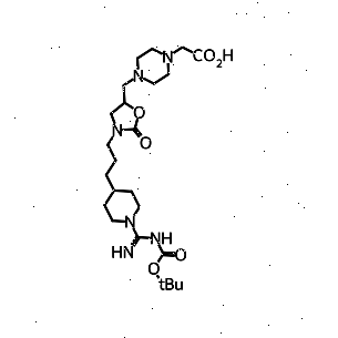 CC(C)(C)OC(=O)NC(=N)N1CCC(CCCN2CC(CN3CCN(CC(=O)O)CC3)OC2=O)CC1